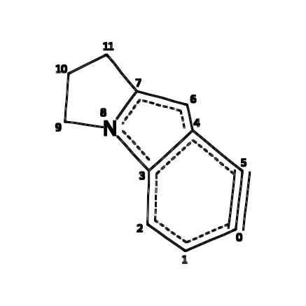 c1ccc2c(c#1)cc1n2CCC1